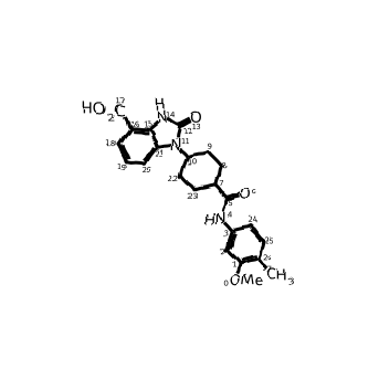 COc1cc(NC(=O)C2CCC(n3c(=O)[nH]c4c(C(=O)O)cccc43)CC2)ccc1C